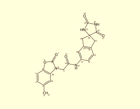 Cc1ccc2oc(=O)n(CC(=O)Nc3ccc4c(c3)CC3(C4)NC(=O)NC3=O)c2c1